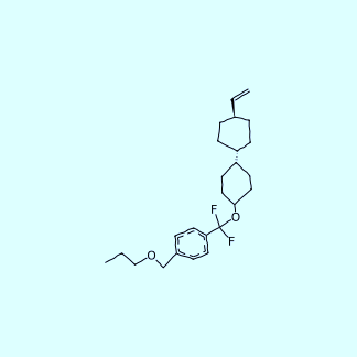 C=C[C@H]1CC[C@H](C2CCC(OC(F)(F)c3ccc(COCCC)cc3)CC2)CC1